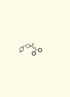 CN1CCN(CC2CCN(C(=O)COC(c3ccccc3)c3ccccc3)CC2)CC1